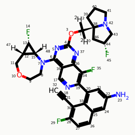 [2H]C([2H])(Oc1nc(N2CCOC[C@@H]3[C@H](F)[C@@H]32)c2cnc(-c3cc(N)cc4ccc(F)c(C#C)c34)c(F)c2n1)[C@@]12CCCN1C[C@H](F)C2